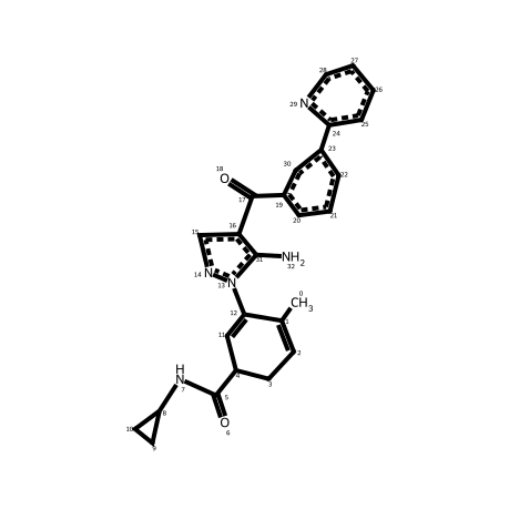 CC1=CCC(C(=O)NC2CC2)C=C1n1ncc(C(=O)c2cccc(-c3ccccn3)c2)c1N